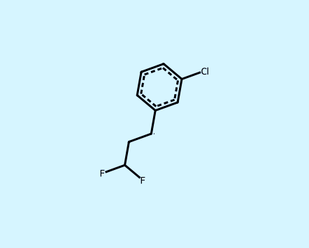 FC(F)C[CH]c1cccc(Cl)c1